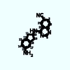 N#Cc1ccc2ncnc(NC3Cc4ccc(N)cc4C3)c2c1